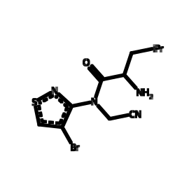 CC(C)CC(N)C(=O)N(CC#N)c1nscc1Br